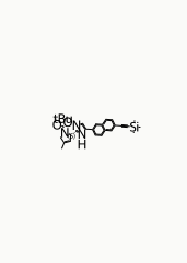 CC1=C[C@@H](c2ncc(-c3ccc4cc(C#C[Si](C)(C)C)ccc4c3)[nH]2)N(C(=O)OC(C)(C)C)C1